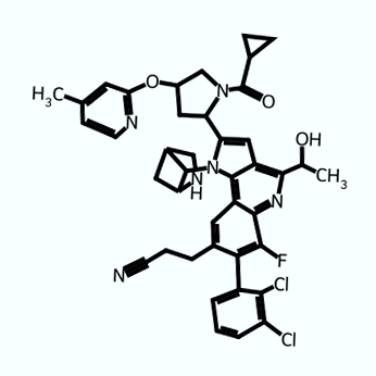 Cc1ccnc(OC2CC(c3cc4c(C(C)O)nc5c(F)c(-c6cccc(Cl)c6Cl)c(CCC#N)cc5c4n3C3C4CNC3C4)N(C(=O)C3CC3)C2)c1